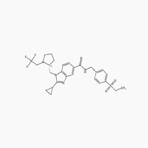 CCS(=O)(=O)c1ccc(CNC(=O)c2ccc3c(c2)nc(C2CC2)n3C[C@H]2CCCN2CC(F)(F)F)cc1